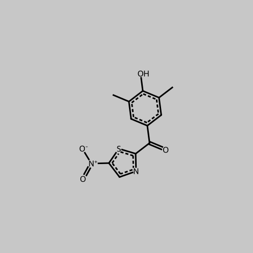 Cc1cc(C(=O)c2ncc([N+](=O)[O-])s2)cc(C)c1O